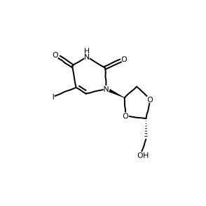 O=c1[nH]c(=O)n([C@H]2CO[C@H](CO)O2)cc1I